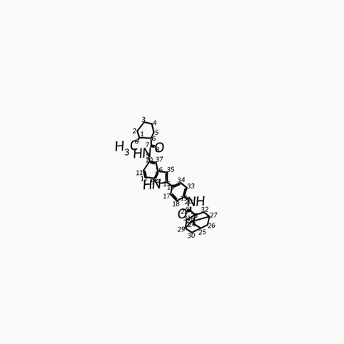 CC1CCCCC1C(=O)Nc1ccc2[nH]c(-c3ccc(NC(=O)C45CC6CC(CC(C6)C4)C5)cc3)cc2c1